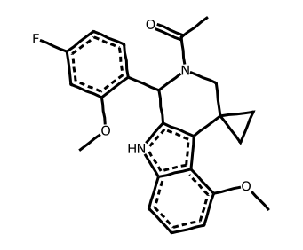 COc1cc(F)ccc1C1c2[nH]c3cccc(OC)c3c2C2(CC2)CN1C(C)=O